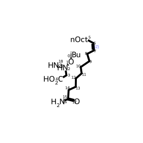 CCC(C)ONCC(=O)O.CCCCCCCC/C=C\CCCCCCCC(N)=O.[NaH]